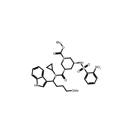 COCCCC(c1c[nH]c2ccccc12)N(C(=O)[C@@H]1C[C@H](NS(=O)(=O)c2ccccc2[N+](=O)[O-])CN(C(=O)OC(C)(C)C)C1)C1CC1